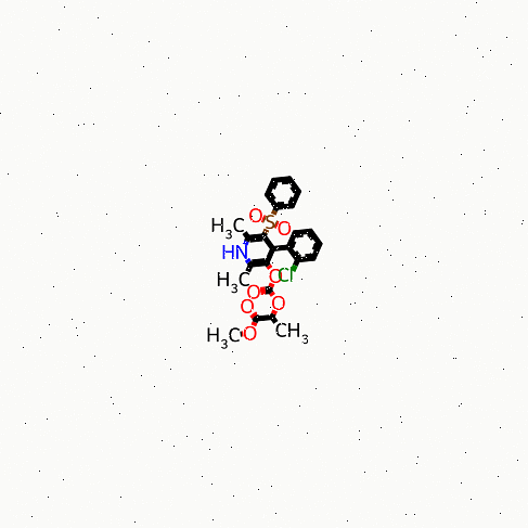 COC(=O)C(C)OC(=O)OC1=C(C)NC(C)=C(S(=O)(=O)c2ccccc2)C1c1ccccc1Cl